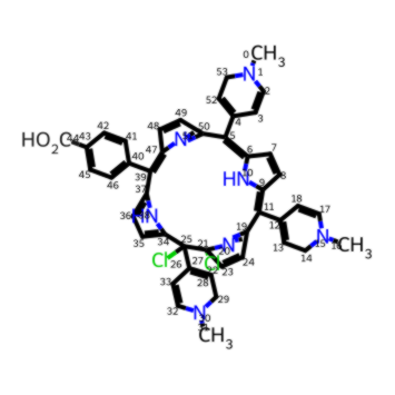 CN1C=CC(C2=c3ccc([nH]3)=C(C3=CCN(C)C=C3)C3=NC(Cl)(C=C3)C(Cl)(C3=CCN(C)C=C3)c3ccc([nH]3)C(c3ccc(C(=O)O)cc3)=C3C=CC2=N3)=CC1